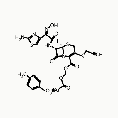 C#CCSC1=C(C(=O)OCOC(=O)C(C)(C)C)N2C(=O)[C@@H](NC(=O)/C(=N\O)c3csc(N)n3)[C@H]2SC1.Cc1ccc(S(=O)(=O)O)cc1